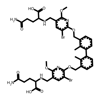 COc1nc(OCc2cccc(-c3cccc(COc4nc(OC)c(CNC(CCC(N)=O)C(=O)O)cc4Br)c3C)c2C)c(Br)cc1CNC(CCC(N)=O)C(=O)O